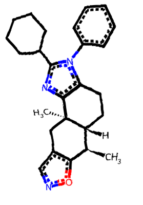 C[C@H]1c2oncc2C[C@@]2(C)c3nc(C4CCCCC4)n(-c4ccccc4)c3CC[C@H]12